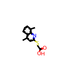 Cc1cc(SCC(=O)O)nc2c(C)cccc12